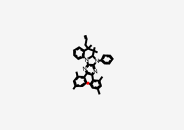 C=CCC1(C)c2ccccc2N2c3nc(-c4c(C)cc(C)cc4C)c(-c4c(C)cc(C)cc4C)nc3N(c3ccccc3)C2C1(C)C